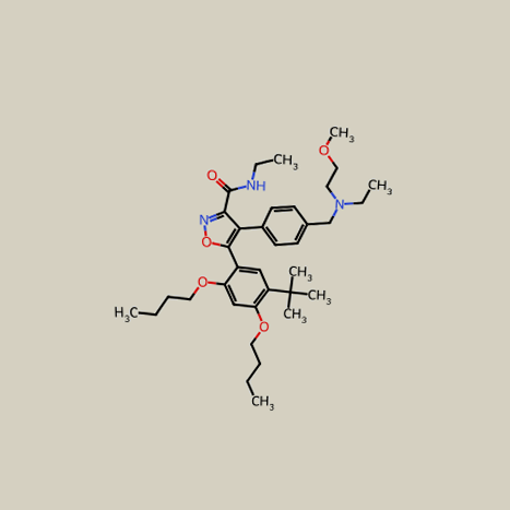 CCCCOc1cc(OCCCC)c(C(C)(C)C)cc1-c1onc(C(=O)NCC)c1-c1ccc(CN(CC)CCOC)cc1